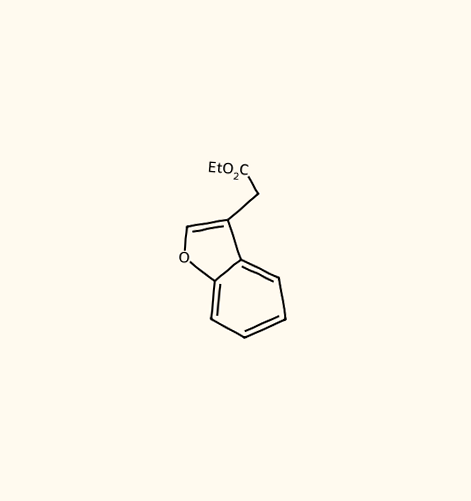 CCOC(=O)Cc1coc2ccccc12